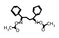 CC(=O)O/N=C(/CC/C(=N/OC(C)=O)c1ccccc1)c1ccccc1